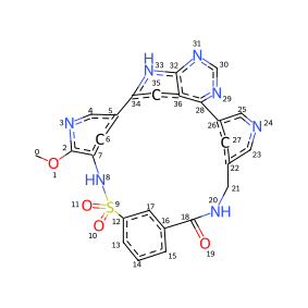 COc1ncc2cc1NS(=O)(=O)c1cccc(c1)C(=O)NCc1cncc(c1)-c1ncnc3[nH]c-2cc13